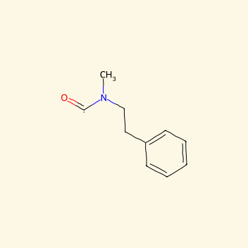 CN([C]=O)CCc1ccccc1